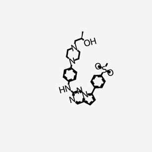 C[C@@H](O)CN1CCN(c2ccc(Nc3ncc4ccc(-c5ccc(S(C)(=O)=O)cc5)n4n3)cc2)CC1